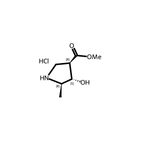 COC(=O)[C@@H]1CN[C@H](C)[C@H]1O.Cl